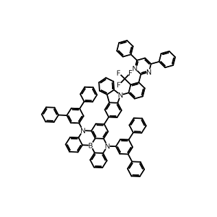 FC(F)(F)c1c(-c2nc(-c3ccccc3)cc(-c3ccccc3)n2)cccc1-n1c2ccccc2c2cc(-c3cc4c5c(c3)N(c3cc(-c6ccccc6)cc(-c6ccccc6)c3)c3ccccc3B5c3ccccc3N4c3cc(-c4ccccc4)cc(-c4ccccc4)c3)ccc21